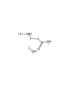 CO.O=C(O)CCNF